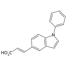 O=C(O)C=Cc1ccc2c(ccn2-c2ccccc2)c1